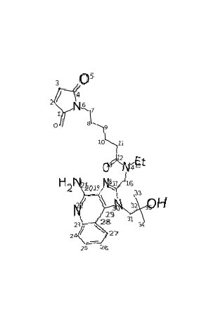 C=C1C=CC(=O)N1CCCCCC(=O)N(CC)Cc1nc2c(N)nc3ccccc3c2n1CC(C)(C)O